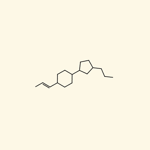 CC=CC1CCC(C2CCC(CCC)C2)CC1